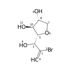 [CH]=C(Br)C(O)[C@H]1OC[C@@H](O)[C@@H]1O